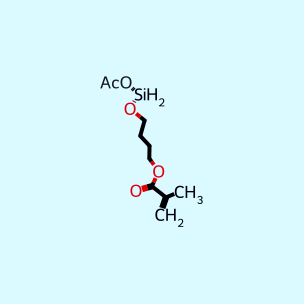 C=C(C)C(=O)OCCCCO[SiH2]OC(C)=O